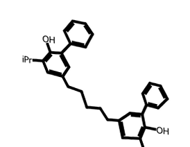 CC(C)c1cc(CCCCCc2cc(-c3ccccc3)c(O)c(C(C)C)c2)cc(-c2ccccc2)c1O